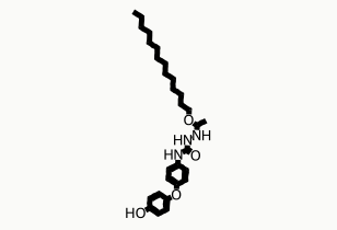 CCCCCCCCCCCCCCOC(C)NNC(=O)Nc1ccc(Oc2ccc(O)cc2)cc1